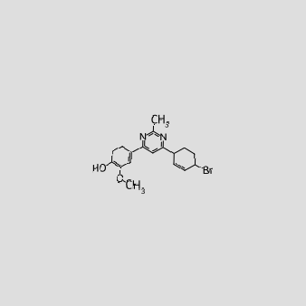 COC1=C(O)CCC(c2cc(C3C=CC(Br)CC3)nc(C)n2)=C1